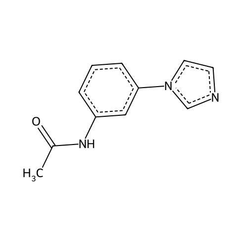 CC(=O)Nc1cccc(-n2ccnc2)c1